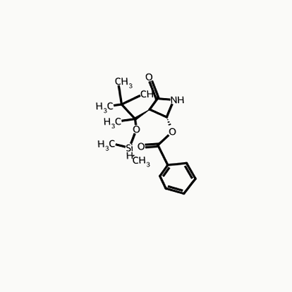 C[SiH](C)OC(C)([C@H]1C(=O)N[C@@H]1OC(=O)c1ccccc1)C(C)(C)C